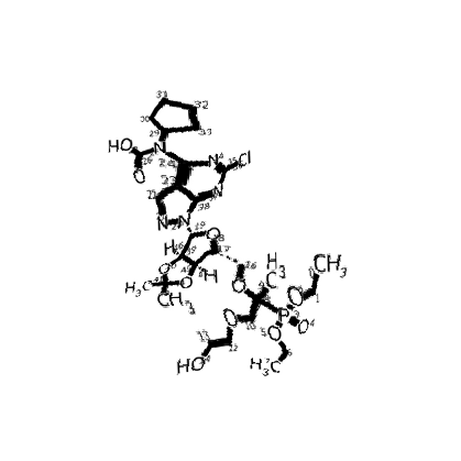 CCOP(=O)(OCC)C(C)(COCCO)OC[C@H]1O[C@@H](n2ncc3c(N(C(=O)O)C4CCCC4)nc(Cl)nc32)[C@@H]2OC(C)(C)O[C@@H]21